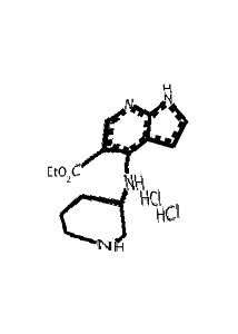 CCOC(=O)c1cnc2[nH]ccc2c1NC1CCCNC1.Cl.Cl